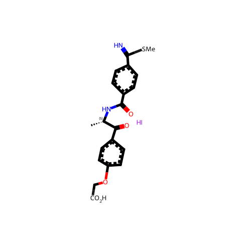 CSC(=N)c1ccc(C(=O)N[C@@H](C)C(=O)c2ccc(OCC(=O)O)cc2)cc1.I